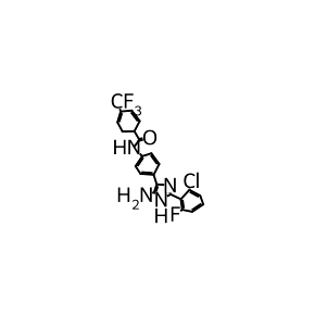 Nc1[nH]c(-c2c(F)cccc2Cl)nc1-c1ccc(NC(=O)C2C=CC(C(F)(F)F)=CC2)cc1